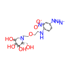 [N-]=[N+]=Nc1ccc(NCCOCCN2C[C@H](O)[C@@H](O)[C@H](O)[C@H]2CO)c([N+](=O)[O-])c1